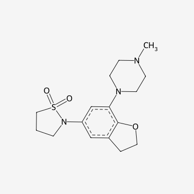 CN1CCN(c2cc(N3CCCS3(=O)=O)cc3c2OCC3)CC1